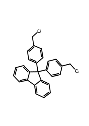 ClCc1ccc(C2(c3ccc(CCl)cc3)c3ccccc3-c3ccccc32)cc1